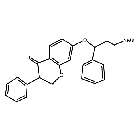 CNCCC(Oc1ccc2c(c1)OCC(c1ccccc1)C2=O)c1ccccc1